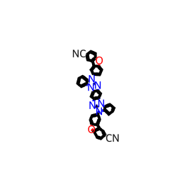 N#Cc1ccc2oc3ccc(-n4c5ccccc5n5c6cc7nc8n(-c9ccc%10oc%11ccc(C#N)cc%11c%10c9)c9ccccc9n8c7cc6nc45)cc3c2c1